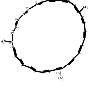 Cl.Cl.Nc1cccccccccccccccccnn(N)[nH]nnnnncccccc1